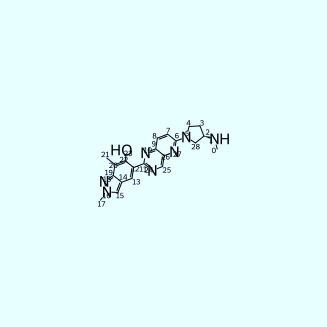 CN[C@@H]1CCN(c2ccc3nc(-c4cc5cn(C)nc5c(C)c4O)ncc3n2)C1